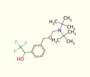 CC(C)(C)N(COCc1cccc(C(O)C(F)(F)F)c1)C(C)(C)C